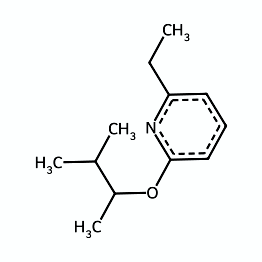 CCc1cccc(OC(C)C(C)C)n1